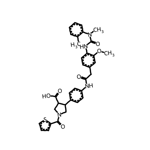 COc1cc(CC(=O)Nc2ccc(C3CN(C(=O)c4cccs4)CC3C(=O)O)cc2)ccc1NC(=O)N(C)c1ccccc1C